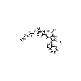 Cn1nc(C(F)F)c(/C=C/C(=O)NS(=O)(=O)CC=CNCC2CC2)c1-n1ccc2cccnc21